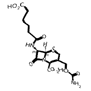 NC(=O)OCC1=C(C(=O)O)N2C(=O)[C@@H](NC(=O)CCCCC(=O)O)[C@H]2SC1